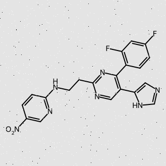 O=[N+]([O-])c1ccc(NC[CH]c2ncc(-c3cnc[nH]3)c(-c3ccc(F)cc3F)n2)nc1